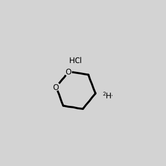 C1CCOOC1.Cl.[2H]